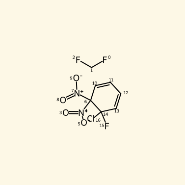 FCF.O=[N+]([O-])C1([N+](=O)[O-])C=CC=CC1(F)Cl